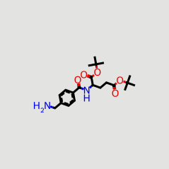 CC(C)(C)OC(=O)CCC(NC(=O)c1ccc(CN)cc1)C(=O)OC(C)(C)C